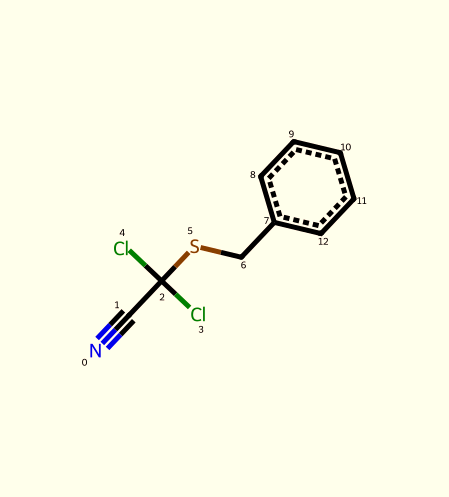 N#CC(Cl)(Cl)SCc1ccccc1